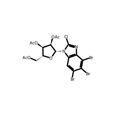 CC(=O)OC[C@H]1O[C@@H](n2c(Cl)nc3c(Br)c(Br)c(Br)cc32)[C@H](OC(C)=O)[C@@H]1OC(C)=O